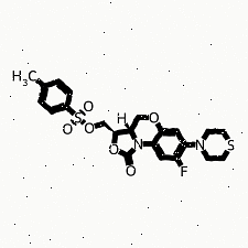 Cc1ccc(S(=O)(=O)OC[C@@H]2OC(=O)N3c4cc(F)c(N5CCSCC5)cc4OC[C@@H]23)cc1